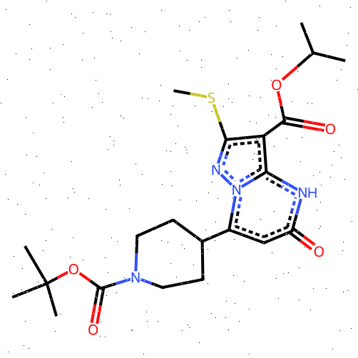 CSc1nn2c(C3CCN(C(=O)OC(C)(C)C)CC3)cc(=O)[nH]c2c1C(=O)OC(C)C